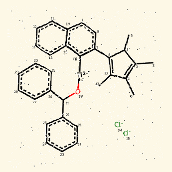 CC1=C(C)C(C)C(c2ccc3ccccc3[c]2[Ti+2][O]C(c2ccccc2)c2ccccc2)=C1C.[Cl-].[Cl-]